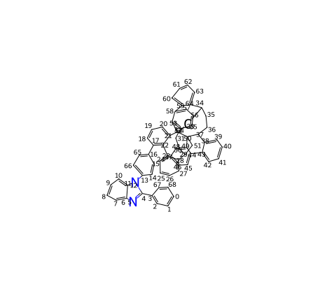 c1ccc(-c2nc3ccccc3n2-c2ccc(-c3cccc4c3-c3ccccc3C3CCCCC5CCC6c7ccccc7-c7ccccc7C6(C3)C4c3ccccc3-c3ccccc35)cc2)cc1